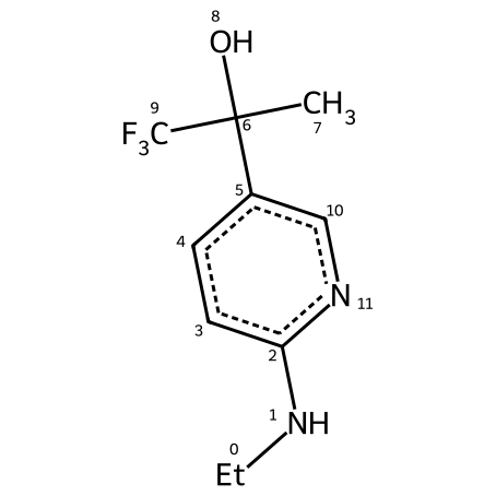 CCNc1ccc(C(C)(O)C(F)(F)F)cn1